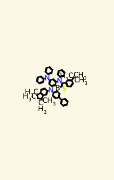 CC(C)(C)c1ccc2sc3c(c2c1)N(c1ccccc1)c1cc(N(c2ccccc2)c2ccccc2)cc2c1B3c1cc(-c3ccccc3)ccc1N2c1ccc2c(c1)C(C)(C)CC2(C)C